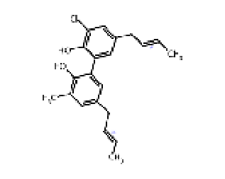 C/C=C/Cc1cc(C)c(O)c(-c2cc(C/C=C/C)cc(Cl)c2O)c1